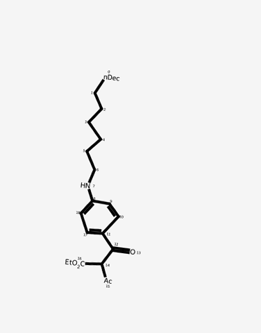 CCCCCCCCCCCCCCCCNc1ccc(C(=O)C(C(C)=O)C(=O)OCC)cc1